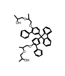 CC(O)COC(C)COc1ccc(C2(c3ccc(OCC(C)OCC(C)O)c(-c4ccccc4)c3)c3ccccc3-c3ccccc32)cc1-c1ccccc1